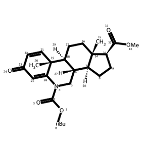 CCCCOC(=O)N1C[C@H]2[C@@H]3CC[C@H](C(=O)OC)[C@@]3(C)CC[C@@H]2[C@@]2(C)C=CC(=O)C=C12